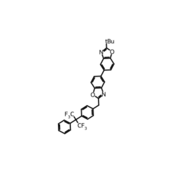 CC(C)(C)c1nc2cc(-c3ccc4oc(Cc5ccc(C(c6ccccc6)(C(F)(F)F)C(F)(F)F)cc5)nc4c3)ccc2o1